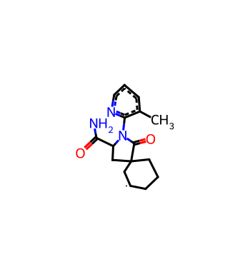 Cc1cccnc1N1C(=O)C2(C[CH]CCC2)CC1C(N)=O